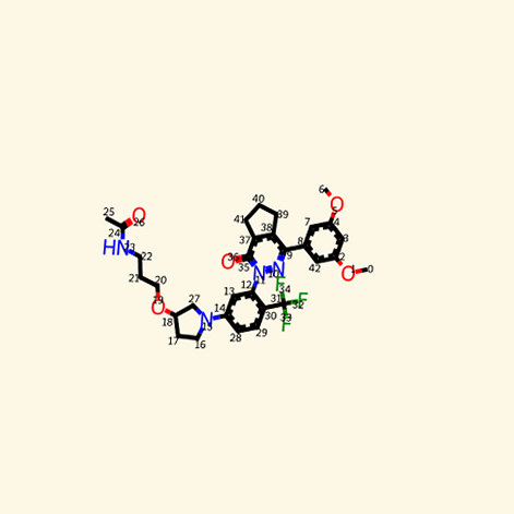 COc1cc(OC)cc(-c2nn(-c3cc(N4CCC(OCCCNC(C)=O)C4)ccc3C(F)(F)F)c(=O)c3c2CCC3)c1